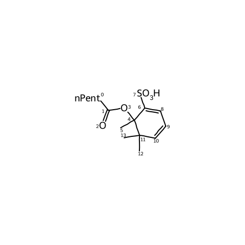 CCCCCC(=O)OC1(C)C(S(=O)(=O)O)=CC=CC1(C)C